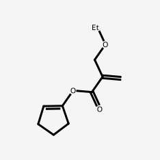 C=C(COCC)C(=O)OC1=CCCC1